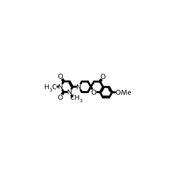 COc1ccc2c(c1)C(=O)CC1(CCN(c3cc(=O)n(C)c(=O)n3C)CC1)O2